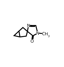 CN1C=NC2(CC3CC3C2)C1=O